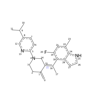 C=C1CCN(c2ccc(C(C)C)cn2)C/C1=C(/C)c1c(F)cc(C)c2[nH]ccc12